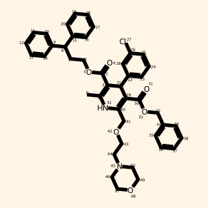 CC1=C(C(=O)OCCC(c2ccccc2)c2ccccc2)C(c2cccc(Cl)c2)C(C(=O)OCc2ccccc2)=C(COCCN2CCOCC2)N1